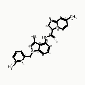 CCc1nn(Cc2cccc(C)n2)c2cccc(NC(=O)C3CN=C4C=C(C)C=CN43)c12